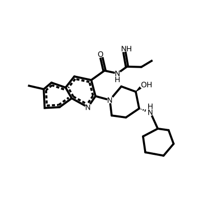 CCC(=N)NC(=O)c1cc2cc(C)ccc2nc1N1CC[C@@H](NC2CCCCC2)[C@H](O)C1